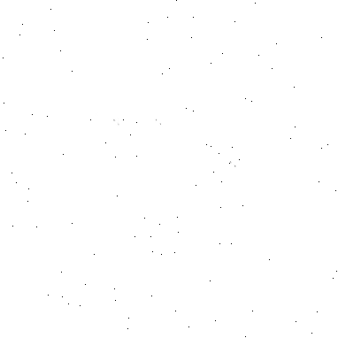 Cc1ccc(S(=O)(=O)NCCCCN2CCN(c3ccccc3)CC2)cc1